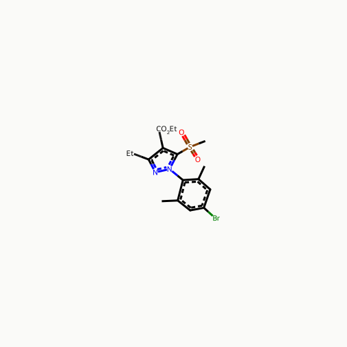 CCOC(=O)c1c(CC)nn(-c2c(C)cc(Br)cc2C)c1S(C)(=O)=O